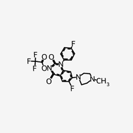 CN1CCN(c2cc3c(cc2F)c(=O)n(OC(=O)C(F)(F)F)c(=O)n3-c2ccc(F)cc2)CC1